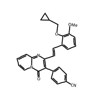 COc1cccc(/C=C/c2nc3ccccn3c(=O)c2-c2ccc(C#N)cc2)c1OCC1CC1